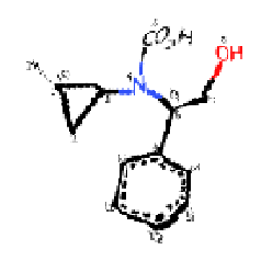 C[C@H]1C[C]1N(C(=O)O)[C@@H](CO)c1ccccc1